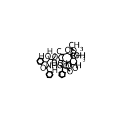 CC(=O)O[C@H]1C(=O)[C@@]2(C)[C@H]([C@H](OC(=O)c3ccccc3)[C@@]3(O)CC1=C(C)[C@@H](OC(=O)[C@H](O)[C@@H](NC(=O)c1ccccc1)c1ccccc1)C3)[C@]1(OC(C)=O)CO[C@@H]1C[C@@H]2O